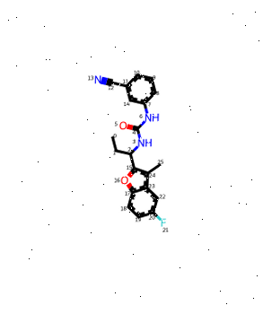 CCC(NC(=O)Nc1cccc(C#N)c1)c1oc2ccc(F)cc2c1C